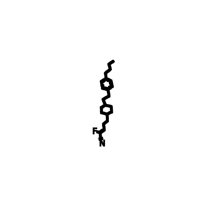 CCCCc1ccc(CCC2CCC(CCC=C(F)C#N)CC2)cc1